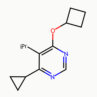 CC(C)c1c(OC2CCC2)ncnc1C1CC1